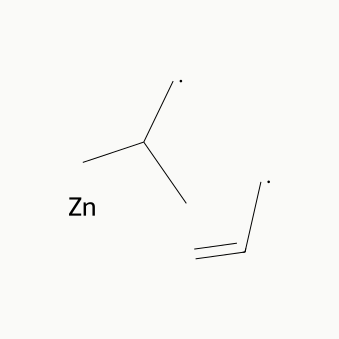 [CH2]C(C)C.[CH2]C=C.[Zn]